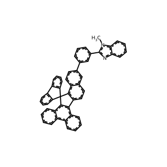 Cn1c(-c2cccc(-c3ccc4c5c(ccc4c3)-c3c(c4ccccc4c4ccccc34)C53c4ccccc4-c4ccccc43)c2)nc2ccccc21